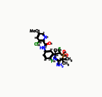 COc1cnc(C(=O)Nc2ccc(F)c([C@@]3(C)N=C(N)C(C)(C)S(=O)(=O)C3F)c2)c(Cl)c1